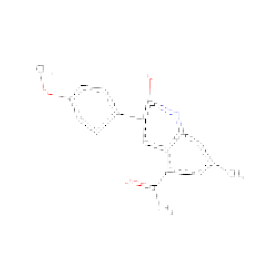 COc1ccc(-c2cc3c(C(C)=O)cc(C)cc3nc2O)cc1